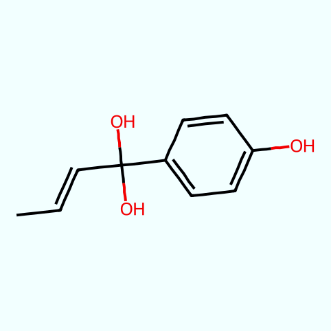 CC=CC(O)(O)c1ccc(O)cc1